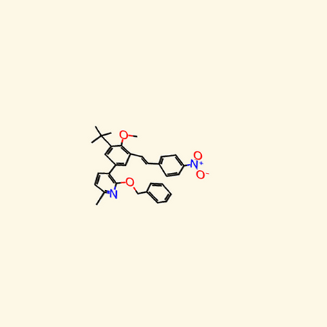 COc1c(C=Cc2ccc([N+](=O)[O-])cc2)cc(-c2ccc(C)nc2OCc2ccccc2)cc1C(C)(C)C